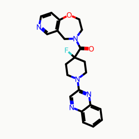 O=C(N1CCOc2ccncc2C1)C1(F)CCN(c2cnc3ccccc3n2)CC1